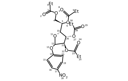 CCC(=O)OC[C@@H](OC(=O)CC)[C@H]1OC(Oc2ccc([N+](=O)[O-])cc2)[C@H](OC(=O)CC)[C@H]1OC(=O)CC